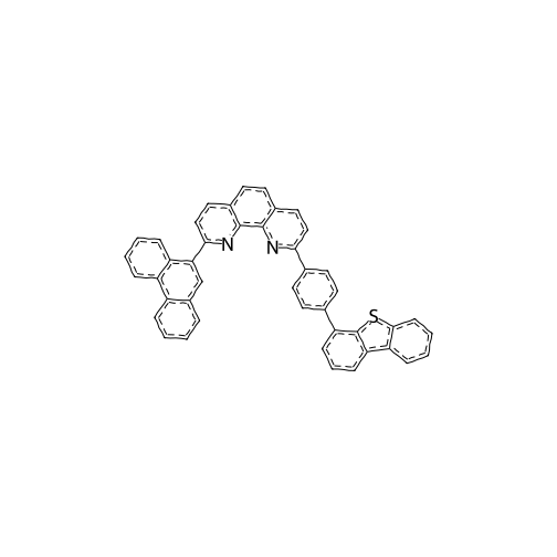 c1ccc2c(c1)cc(-c1ccc3ccc4ccc(-c5ccc(-c6cccc7c6sc6ccccc67)cc5)nc4c3n1)c1ccccc12